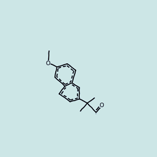 COc1ccc2cc(C(C)(C)[C]=O)ccc2c1